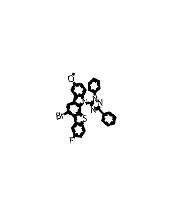 COc1ccc2c(c1)c1cc(Br)c3c4cc(F)ccc4sc3c1n2-c1nc(-c2ccccc2)nn1-c1ccccc1